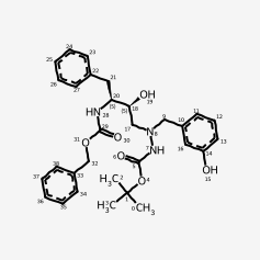 CC(C)(C)OC(=O)NN(Cc1cccc(O)c1)C[C@H](O)[C@H](Cc1ccccc1)NC(=O)OCc1ccccc1